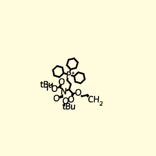 C=CCOC(=O)C(CC[P+](C1CCCCC1)(C1CCCCC1)C1CCCCC1)N(C(=O)OC(C)(C)C)C(=O)OC(C)(C)C.[I-]